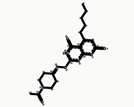 CCCCCc1cc(=O)oc2nc(ON=C3CCN(C(C)=O)CC3)[nH]c(=O)c12